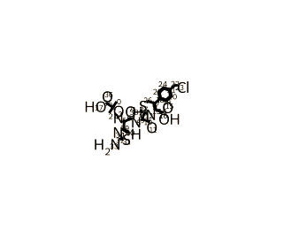 CC(C)(O/N=C(\C(=O)N[C@@H]1C(=O)N2C(C(=O)O)=C(c3ccc(CCl)cc3)CS[C@H]12)c1csc(N)n1)C(=O)O